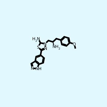 COc1ccc(C[C@@H](N)CN2N=C(c3ccc4[nH]ncc4c3)SC2N)cc1